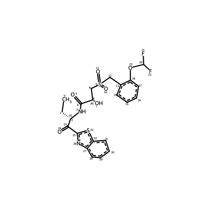 CC[C@H](NC(=O)[C@@H](O)CS(=O)(=O)Cc1ccccc1OC(F)F)C(=O)c1nc2ccccc2s1